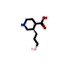 BCCC[C@@H]1CNCCC1C(=O)O